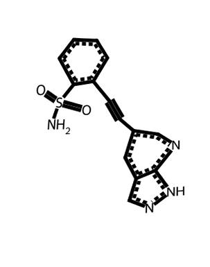 NS(=O)(=O)c1ccccc1C#Cc1cnc2[nH]ncc2c1